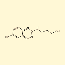 OCCCNc1ncc2cc(Br)ccc2n1